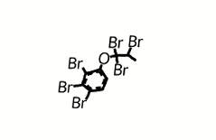 CC(Br)C(Br)(Br)Oc1ccc(Br)c(Br)c1Br